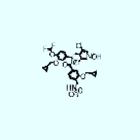 CS(=O)(=O)NCc1ccc(C(=O)O[C@@H](Cc2c(Cl)c[n+](O)cc2Cl)c2ccc(OC(F)F)c(OCC3CC3)c2)cc1OCC1CC1